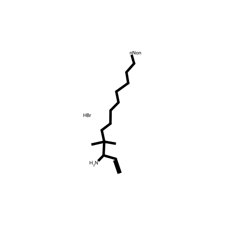 Br.C=CC(N)C(C)(C)CCCCCCCCCCCCCCCCC